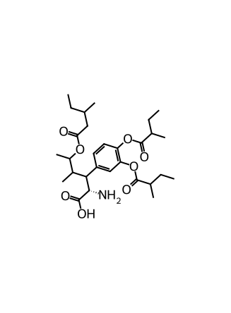 CCC(C)CC(=O)OC(C)C(C)C(c1ccc(OC(=O)C(C)CC)c(OC(=O)C(C)CC)c1)[C@H](N)C(=O)O